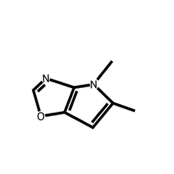 Cc1cc2ocnc2n1C